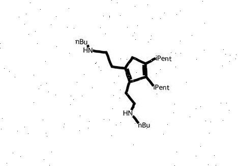 CCCCNCCC1=C(CCNCCCC)C(C(C)CCC)=C(C(C)CCC)C1